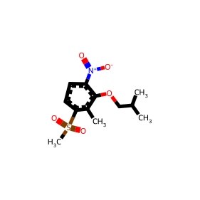 Cc1c(S(C)(=O)=O)ccc([N+](=O)[O-])c1OCC(C)C